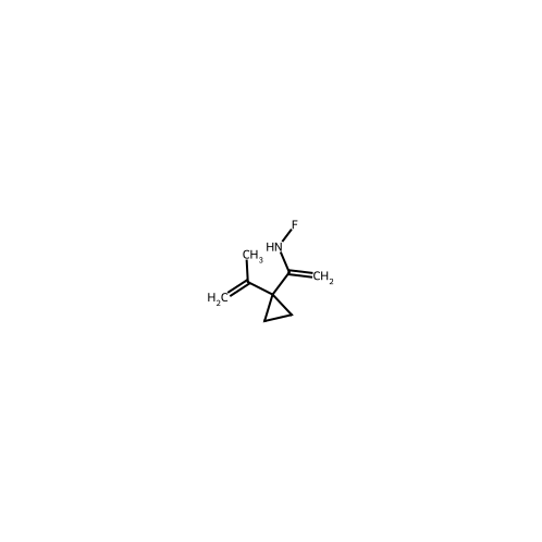 C=C(C)C1(C(=C)NF)CC1